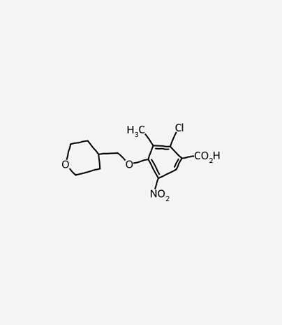 Cc1c(Cl)c(C(=O)O)cc([N+](=O)[O-])c1OCC1CCOCC1